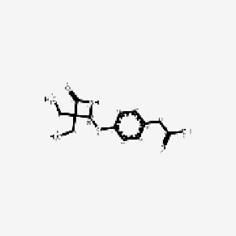 CCC1(CC)C(=O)N[C@H]1Oc1ccc(CC(=O)O)cc1